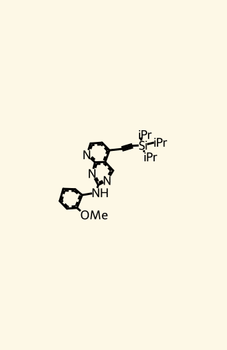 COc1ccccc1Nc1ncc2c(C#C[Si](C(C)C)(C(C)C)C(C)C)ccnc2n1